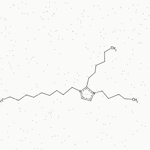 CCCCCCCCCCn1cc[n+](CCCCC)c1CCCCCC